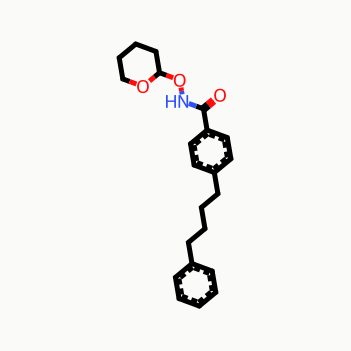 O=C(NOC1CCCCO1)c1ccc(CCCCc2ccccc2)cc1